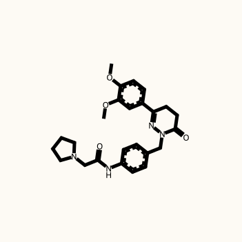 COc1ccc(C2=NN(Cc3ccc(NC(=O)CN4CCCC4)cc3)C(=O)CC2)cc1OC